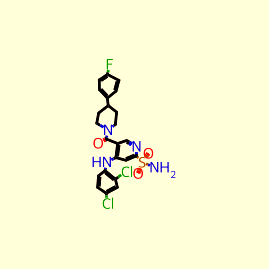 NS(=O)(=O)c1cc(Nc2ccc(Cl)cc2Cl)c(C(=O)N2CCC(c3ccc(F)cc3)CC2)cn1